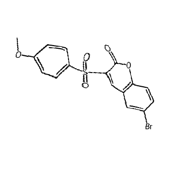 COc1ccc(S(=O)(=O)c2cc3cc(Br)ccc3oc2=O)cc1